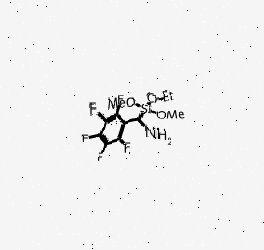 CCO[Si](OC)(OC)C(N)c1c(F)c(F)c(F)c(F)c1F